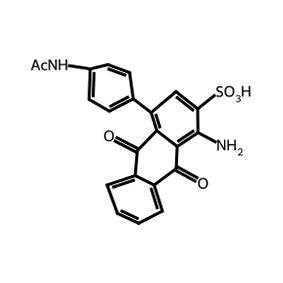 CC(=O)Nc1ccc(-c2cc(S(=O)(=O)O)c(N)c3c2C(=O)c2ccccc2C3=O)cc1